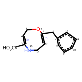 O=C(O)/C1=C/CO/C(Cc2ccccc2)=C\CN1